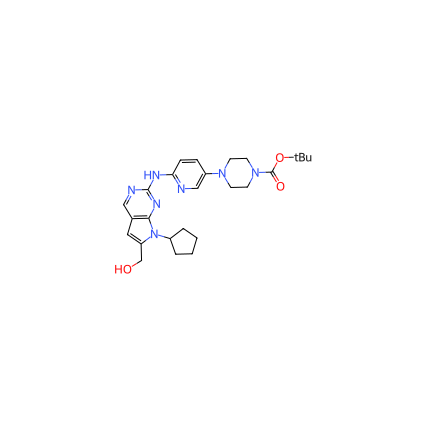 CC(C)(C)OC(=O)N1CCN(c2ccc(Nc3ncc4cc(CO)n(C5CCCC5)c4n3)nc2)CC1